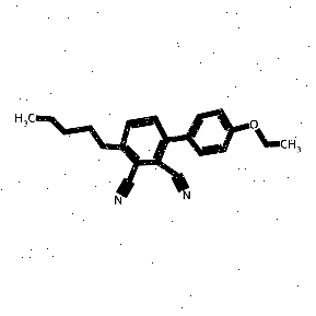 CCCCCc1ccc(-c2ccc(OCC)cc2)c(C#N)c1C#N